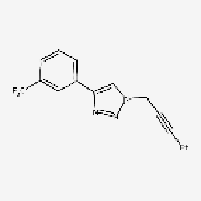 CCC#CCn1cc(-c2cccc(C(F)(F)F)c2)nn1